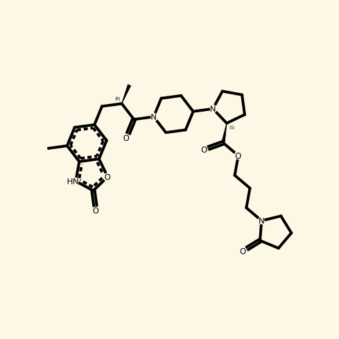 Cc1cc(C[C@@H](C)C(=O)N2CCC(N3CCC[C@H]3C(=O)OCCCN3CCCC3=O)CC2)cc2oc(=O)[nH]c12